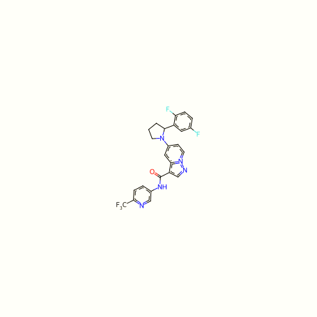 O=C(Nc1ccc(C(F)(F)F)nc1)c1cnn2ccc(N3CCCC3c3cc(F)ccc3F)cc12